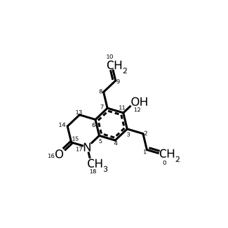 C=CCc1cc2c(c(CC=C)c1O)CCC(=O)N2C